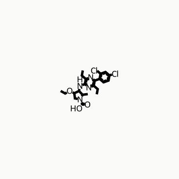 CCOC1CN(C(=O)O)C(C)C1Nc1nc(CC)c(-c2ccc(Cl)cc2Cl)nc1CC